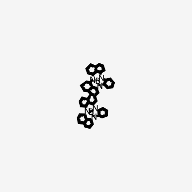 c1ccc2c(c1)N1B3N2c2cc4cc5c6c(cccc6c4c4cccc(c24)N3c2cccc3cccc1c23)N1B2N(c3ccccc3N25)c2cccc3cccc1c23